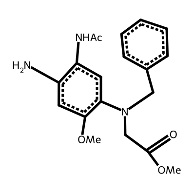 COC(=O)CN(Cc1ccccc1)c1cc(NC(C)=O)c(N)cc1OC